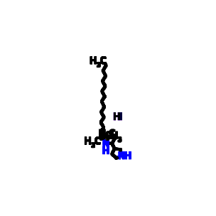 CCCCCCCCCCCCCCCC(C)(C)NC(CC)C1CCNC1.I